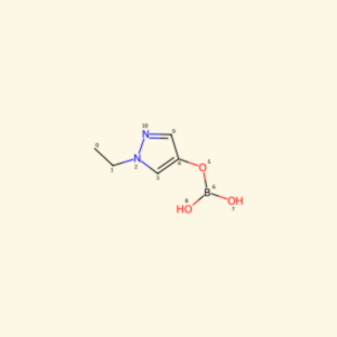 CCn1cc(OB(O)O)cn1